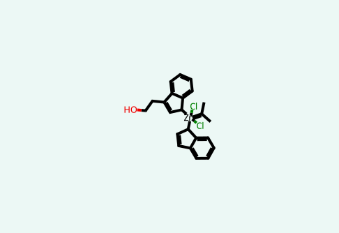 C[C](C)=[Zr]([Cl])([Cl])([CH]1C=Cc2ccccc21)[CH]1C=C(CCO)c2ccccc21